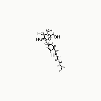 OCC1OC(Oc2ccc(CNCCOCCI)cc2)C(O)C(O)C1O